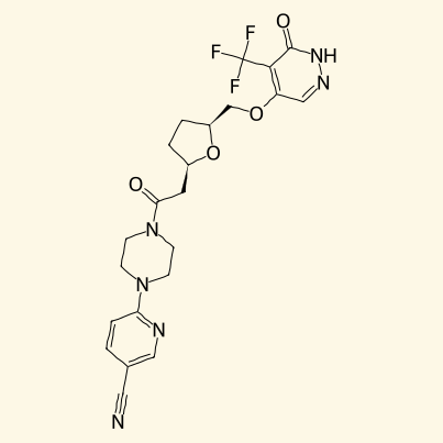 N#Cc1ccc(N2CCN(C(=O)C[C@H]3CC[C@@H](COc4cn[nH]c(=O)c4C(F)(F)F)O3)CC2)nc1